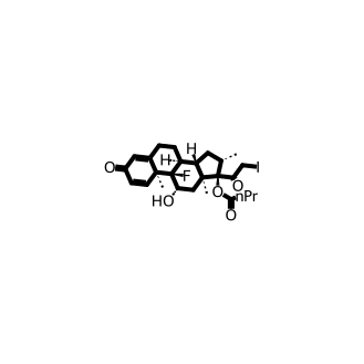 CCCC(=O)O[C@]1(C(=O)CI)[C@@H](C)C[C@H]2[C@@H]3CCC4=CC(=O)C=C[C@]4(C)[C@@]3(F)[C@@H](O)C[C@@]21C